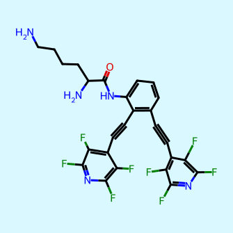 NCCCCC(N)C(=O)Nc1cccc(C#Cc2c(F)c(F)nc(F)c2F)c1C#Cc1c(F)c(F)nc(F)c1F